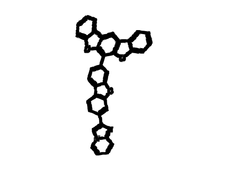 c1ccc2c(c1)oc1c(-c3ccc4c(c3)oc3cc(-c5cn6ccccc6n5)ccc34)c3oc4ccccc4c3cc12